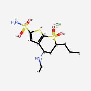 CCC[C@H]1C[C@H](NCC)c2cc(S(N)(=O)=O)sc2S1(=O)=O.Cl